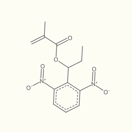 C=C(C)C(=O)OC(CC)c1c([N+](=O)[O-])cccc1[N+](=O)[O-]